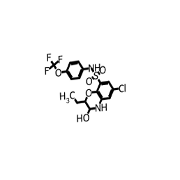 CCC1Oc2c(cc(Cl)cc2S(=O)(=O)Nc2ccc(OC(F)(F)F)cc2)NC1O